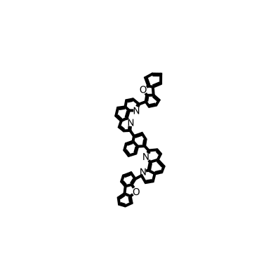 c1ccc2c(c1)oc1c(-c3ccc4ccc5ccc(-c6ccc(-c7ccc8ccc9ccc(-c%10cccc%11c%10oc%10ccccc%10%11)nc9c8n7)c7ccccc67)nc5c4n3)cccc12